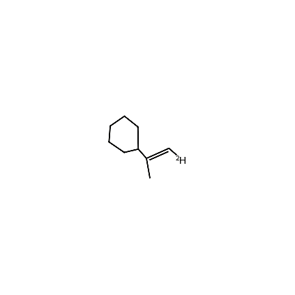 [2H]C=C(C)C1CCCCC1